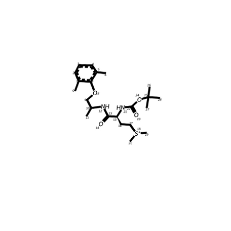 Cc1cccc(C)c1OCC(C)NC(=O)[C@H](CC[S+](C)C)NC(=O)OC(C)(C)C